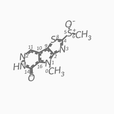 Cn1c2nc([S+](C)[O-])sc2c2cn[nH]c(=O)c21